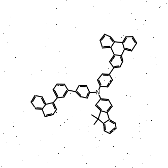 CC1(C)c2ccccc2-c2ccc(N(c3ccc(-c4cccc(-c5cccc6ccccc56)c4)cc3)c3ccc(-c4ccc5c6ccccc6c6ccccc6c5c4)cc3)cc21